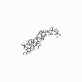 CC(C)C1=C2[C@H]3CC[C@@H]4[C@@]5(C)CC[C@H](OC(=O)CC(C)(C)C(=O)OC(C)(C)C)C(C)(C)[C@@H]5CC[C@@]4(C)[C@]3(C)CC[C@@]2(C(=O)N(Cc2ccc(Cl)cc2)C(=O)OC(C)(C)C)CC1=O